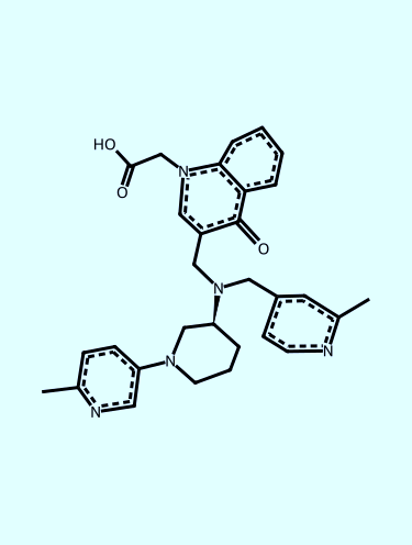 Cc1ccc(N2CCC[C@H](N(Cc3ccnc(C)c3)Cc3cn(CC(=O)O)c4ccccc4c3=O)C2)cn1